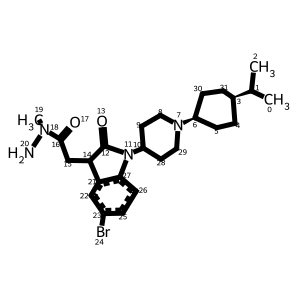 CC(C)[C@H]1CC[C@@H](N2CCC(N3C(=O)C(CC(=O)N(C)N)c4cc(Br)ccc43)CC2)CC1